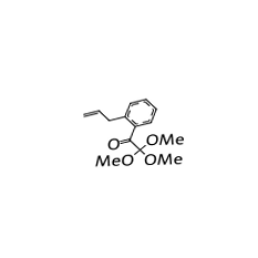 C=CCc1ccccc1C(=O)C(OC)(OC)OC